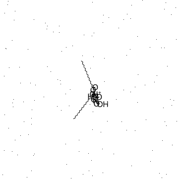 CCCCCCCCCCCCCCCCCC(=O)OCC(CNC(=O)C(CC(=O)O)[NH+](C)[O-])OC(=O)CCCCCCCCCCCCCCCCC